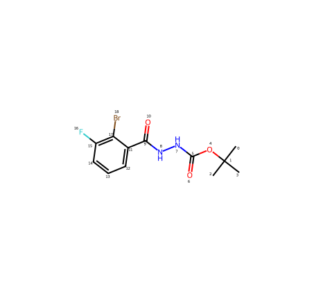 CC(C)(C)OC(=O)NNC(=O)c1cccc(F)c1Br